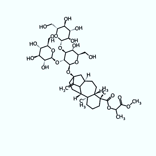 C=C1C2[C@@H]3CC[C@H]4[C@@](C)(CCC[C@@]4(C)C(=O)OC(C)C(=O)OC)[C@@H]2CC[C@]1(O[C@@H]1O[C@H](CO)[C@@H](O)[C@H](O[C@@H]2O[C@H](CO)[C@@H](O)[C@H](O)[C@H]2O)[C@H]1O[C@@H]1O[C@H](CO)[C@@H](O)[C@H](O)[C@H]1O)C3